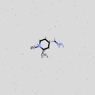 CC(C)N1CC[C@H](CN)C[C@H]1C